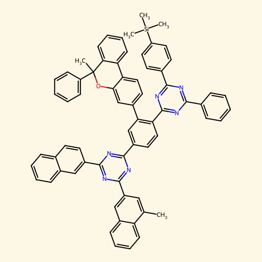 Cc1cc(-c2nc(-c3ccc(-c4nc(-c5ccccc5)nc(-c5ccc([Si](C)(C)C)cc5)n4)c(-c4ccc5c(c4)OC(C)(c4ccccc4)c4ccccc4-5)c3)nc(-c3ccc4ccccc4c3)n2)cc2ccccc12